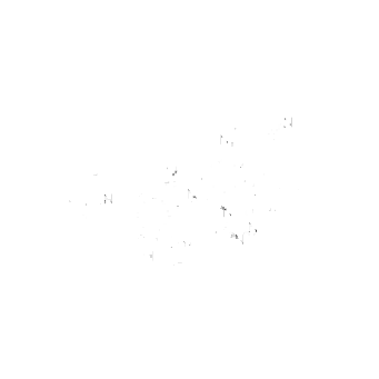 COC1CC(c2cc(NC(C)CC#N)cc(N3Cc4c(cc(CNC5(C)CCC5)cc4C(F)(F)F)C3=O)c2)(c2nncn2C)C1